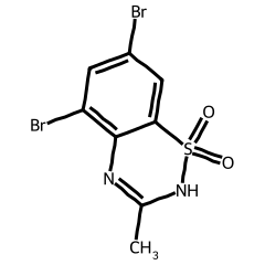 CC1=Nc2c(Br)cc(Br)cc2S(=O)(=O)N1